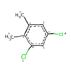 Cc1[c]c(Cl)cc(Cl)c1C